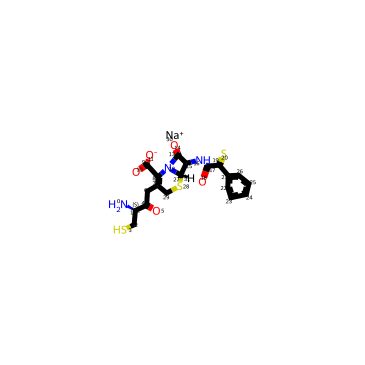 N[C@H](CS)C(=O)CC1=C(C(=O)[O-])N2C(=O)C(NC(=O)C(=S)c3ccccc3)[C@@H]2SC1.[Na+]